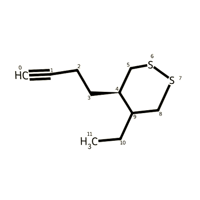 C#CCC[C@H]1CSSCC1CC